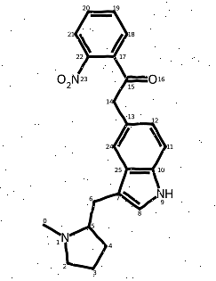 CN1CCCC1Cc1c[nH]c2ccc(CC(=O)c3ccccc3[N+](=O)[O-])cc12